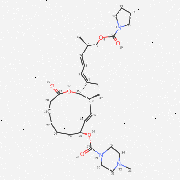 C/C(=C\C=C\[C@@H](C)COC(=O)N1CCCC1)[C@H]1OC(=O)CCCCC[C@H](OC(=O)N2CCN(C)CC2)/C=C/[C@@H]1C